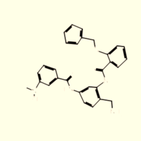 CN(C)c1cccc(C(=O)Nc2ccc(CN)c(NC(=O)c3ccccc3OCc3ccccc3)c2)c1